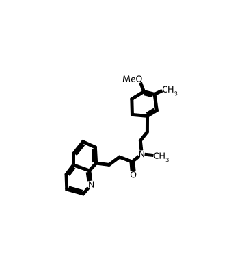 COC1=C(C)C=C(CCN(C)C(=O)CCc2cccc3cccnc23)CC1